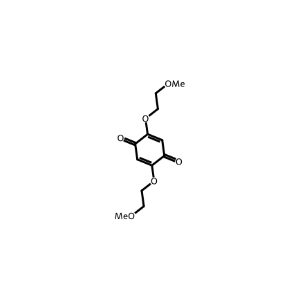 COCCOC1=CC(=O)C(OCCOC)=CC1=O